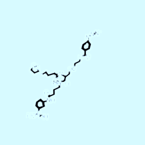 [N-]=[N+]=Nc1ccc(C(=O)OCCSSCC(NC(=O)CCCC[C@@H]2CCSS2)C(=O)NCCCC(=O)Nc2cccc(B(O)O)c2)cc1